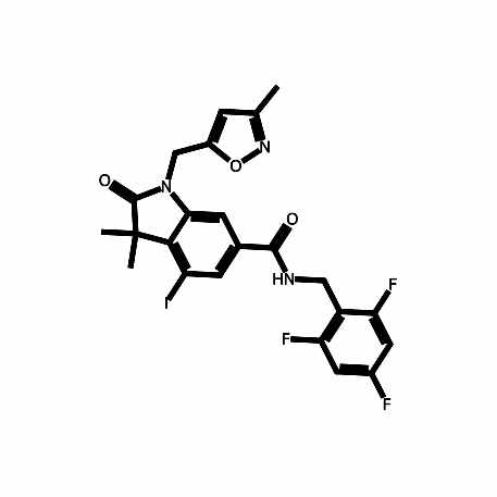 Cc1cc(CN2C(=O)C(C)(C)c3c(I)cc(C(=O)NCc4c(F)cc(F)cc4F)cc32)on1